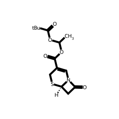 CC(OC(=O)C1=CN2C(=O)C[C@H]2SC1)OC(=O)C(C)(C)C